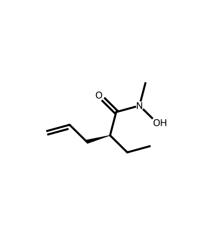 C=CC[C@H](CC)C(=O)N(C)O